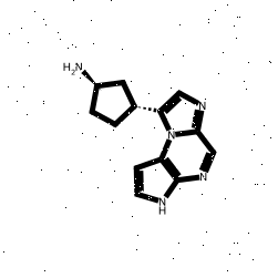 N[C@@H]1CC[C@@H](c2cnc3cnc4[nH]ccc4n23)C1